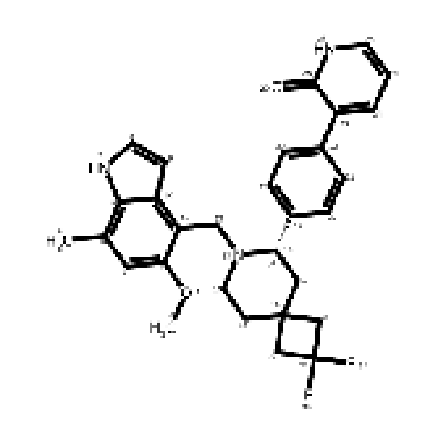 COc1cc(C)c2[nH]ccc2c1CN1CCC2(C[C@H]1c1ccc(-c3ccc[nH]c3=O)cc1)CC(F)(F)C2